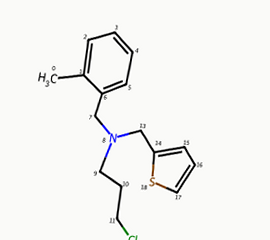 Cc1ccccc1CN(CCCCl)Cc1cccs1